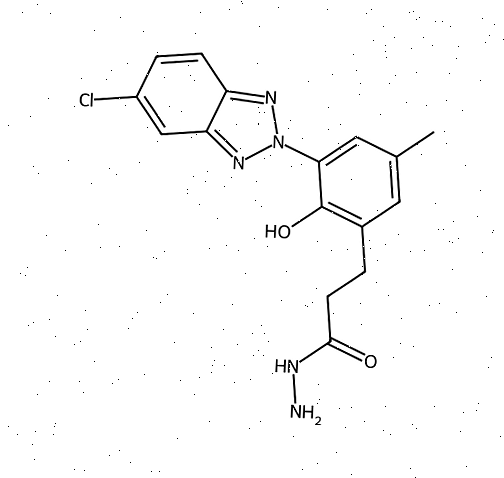 Cc1cc(CCC(=O)NN)c(O)c(-n2nc3ccc(Cl)cc3n2)c1